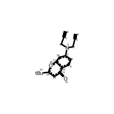 C#CCN(CC#C)c1ccc2c(=O)cc(C(C)(C)C)oc2c1